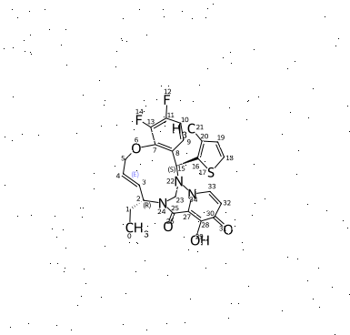 CC[C@@H]1/C=C/COc2c(ccc(F)c2F)[C@@H](c2sccc2C)N2CN1C(=O)c1c(O)c(=O)ccn12